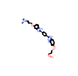 CN(C)CCCOc1ccc2[nH]c(-c3ccc(-c4nc5cc(OCCCO)ccc5[nH]4)cc3)nc2c1